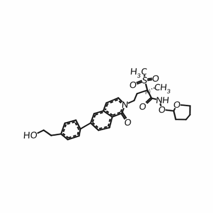 C[C@@](CCn1ccc2cc(-c3ccc(CCO)cc3)ccc2c1=O)(C(=O)NOC1CCCCO1)S(C)(=O)=O